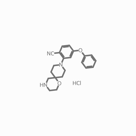 Cl.N#Cc1ccc(Oc2ccccc2)cc1N1CCC2(CC1)CNCCO2